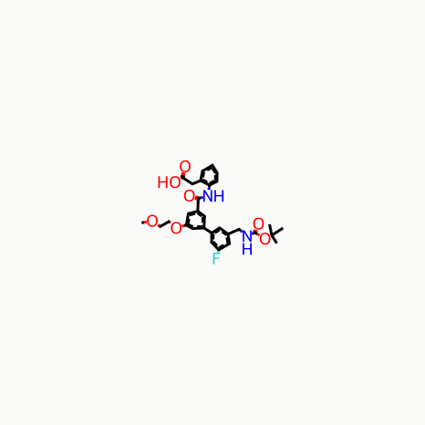 COCCOc1cc(C(=O)Nc2ccccc2CC(=O)O)cc(-c2cc(F)cc(CNC(=O)OC(C)(C)C)c2)c1